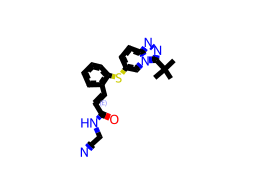 CC(C)(C)c1nnc2ccc(Sc3ccccc3/C=C/C(=O)NCC#N)cn12